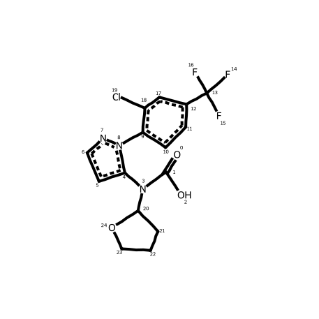 O=C(O)N(c1ccnn1-c1ccc(C(F)(F)F)cc1Cl)C1CCCO1